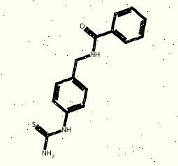 NC(=S)Nc1ccc(CNC(=O)c2ccccc2)cc1